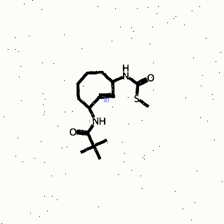 CSC(=O)NC1/C=C/C(NC(=O)C(C)(C)C)CCCC1